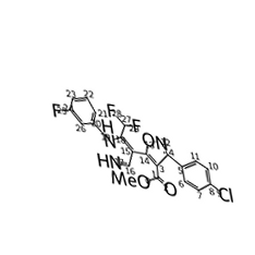 COC(=O)c1c(-c2ccc(Cl)cc2)noc1/C(C=N)=C(/Nc1cccc(F)c1)C(F)F